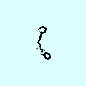 C(#Cc1ccccn1)CCNc1nc2ccccc2s1